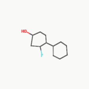 OC1CCC(C2CCCCC2)C(F)C1